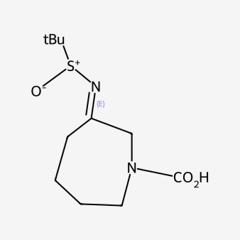 CC(C)(C)[S+]([O-])/N=C1\CCCCN(C(=O)O)C1